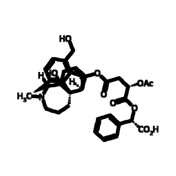 CC(=O)O[C@@H](CC(=O)OC1=CC[C@@]2(O)[C@H]3Cc4ccc(CO)c5c4[C@@]2(CCCN3C)[C@H]1O5)C(=O)O[C@H](C(=O)O)c1ccccc1